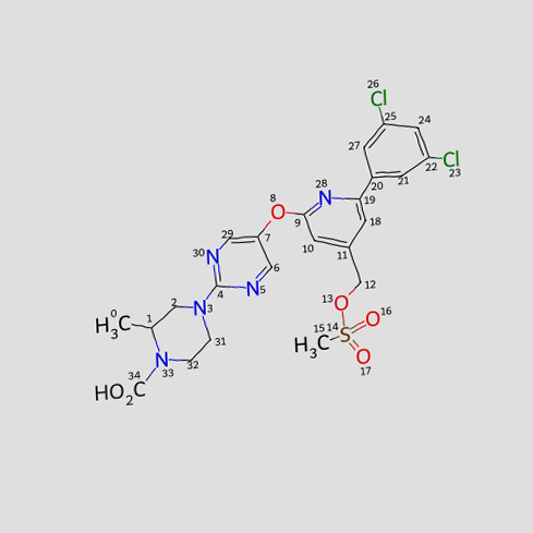 CC1CN(c2ncc(Oc3cc(COS(C)(=O)=O)cc(-c4cc(Cl)cc(Cl)c4)n3)cn2)CCN1C(=O)O